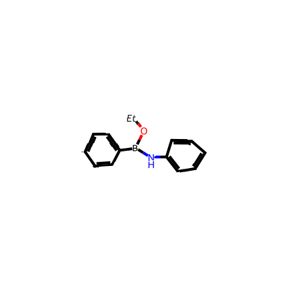 CCOB(Nc1ccccc1)c1cc[c]cc1